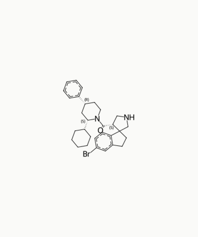 O=C([C@@H]1CNCC12CCc1cc(Br)ccc12)N1CC[C@@H](c2ccccc2)C[C@H]1C1CCCCC1